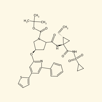 C=C[C@@H]1C[C@]1(NC(=O)C1C[C@@H](Oc2cc(-c3cccs3)cc(-c3ccccc3)n2)CN1C(=O)OC(C)(C)C)C(=O)NS(=O)(=O)C1CC1